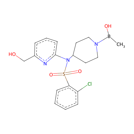 CB(O)N1CCC(N(c2cccc(CO)n2)S(=O)(=O)c2ccccc2Cl)CC1